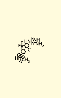 CC1(NS(=O)(=O)c2ccc(-c3c(Cl)cc(Nc4n[nH]c(N)n4)cc3C(F)(F)F)cc2)CC1